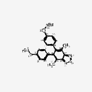 CCCCOc1ccc(-c2c(-c3ccc(OCCCC)cc3)c(C)c3nsnc3c2C)cc1